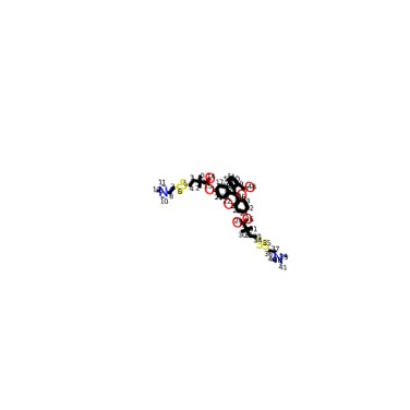 CC(C)(CCSSCC[N+](C)(C)C)C(=O)Oc1ccc2c(c1)Oc1cc(OC(=O)C(C)(C)CCSSCC[N+](C)(C)C)ccc1C21OC(=O)c2ccccc21